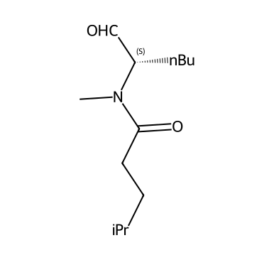 CCCC[C@@H](C=O)N(C)C(=O)CCC(C)C